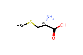 N[C@@H](CS[SeH])C(=O)O